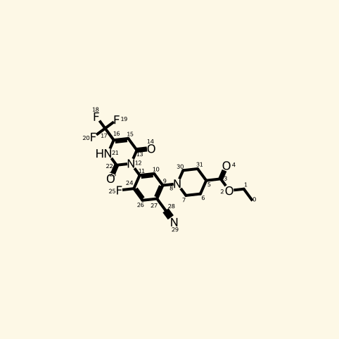 CCOC(=O)C1CCN(c2cc(-n3c(=O)cc(C(F)(F)F)[nH]c3=O)c(F)cc2C#N)CC1